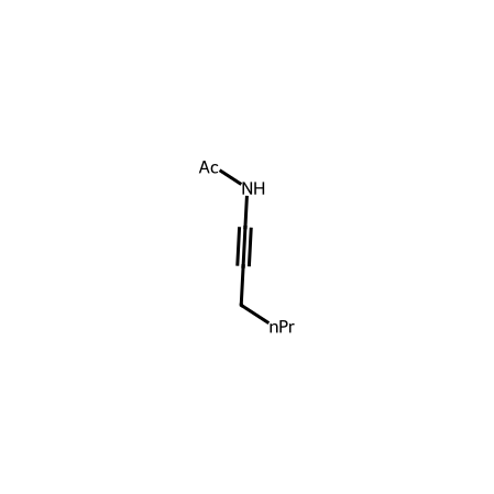 CCCCC#CNC(C)=O